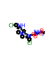 C=C(C)C(=O)OCCN(N)C(=O)OCCN1/C(=C/C=C2\CCC(/C=C/C3Nc4ccc(Cl)cc4C3(C)C)=C2N(c2ccccc2)c2ccccc2)C(C)(C)c2cc(Cl)ccc21